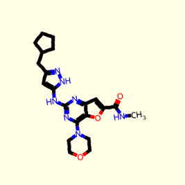 CNC(=O)c1cc2nc(Nc3cc(CC4CCCC4)n[nH]3)nc(N3CCOCC3)c2o1